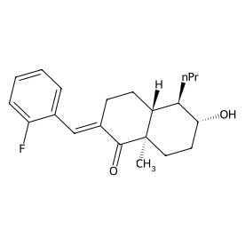 CCC[C@H]1[C@H](O)CC[C@@]2(C)C(=O)/C(=C/c3ccccc3F)CC[C@H]12